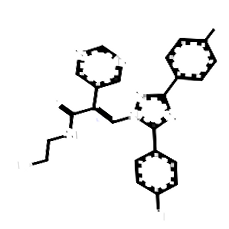 O=C(NCCO)/C(=C/n1nc(-c2ccc(C(F)(F)F)cc2)nc1-c1ccc(C(F)(F)F)cc1)c1cncnc1